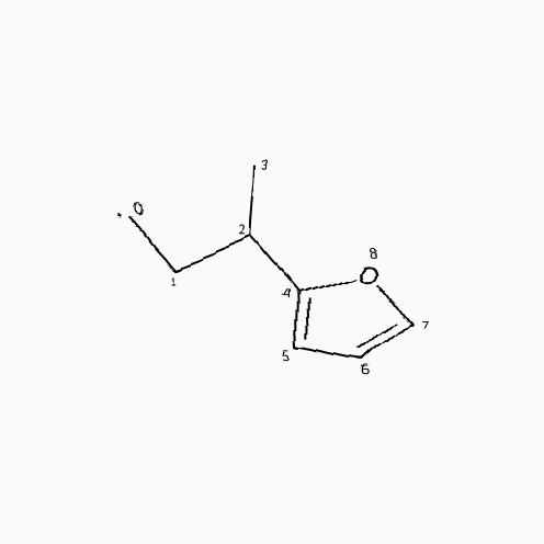 [CH2]CC(C)c1ccco1